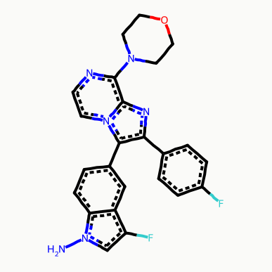 Nn1cc(F)c2cc(-c3c(-c4ccc(F)cc4)nc4c(N5CCOCC5)nccn34)ccc21